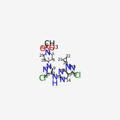 CS(=O)(=O)N1CCC(n2cc(Nc3ncc4c(Cl)nn(C5CC5)c4n3)c(Cl)n2)CC1